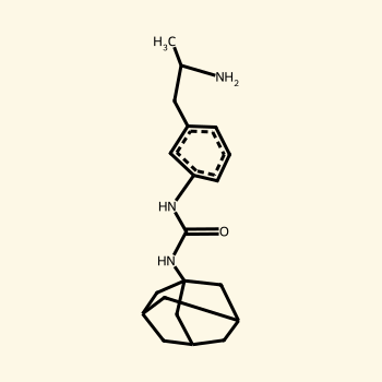 CC(N)Cc1cccc(NC(=O)NC23CC4CC(CC(C4)C2)C3)c1